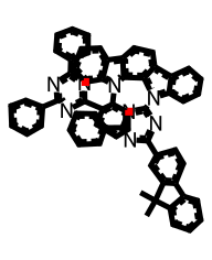 CC1(C)c2ccccc2-c2ccc(-c3nc(-c4ccccc4)nc(-n4c5ccccc5c5ccc6c7ccccc7n(-c7ccccc7-c7nc(-c8ccccc8)nc(-c8ccccc8)n7)c6c54)n3)cc21